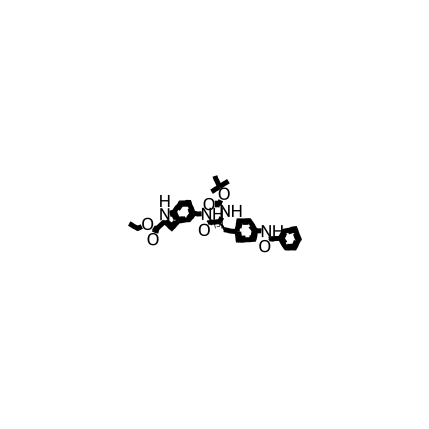 CCOC(=O)c1cc2cc(NC(=O)[C@H](Cc3ccc(NC(=O)c4ccccc4)cc3)NC(=O)OC(C)(C)C)ccc2[nH]1